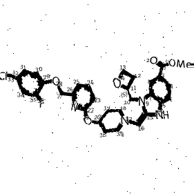 COC(=O)c1ccc2c(c1)N(C[C@@H]1CCO1)C(=CN1CCC(Oc3cccc(COc4ccc(Cl)cc4F)n3)CC1)N2